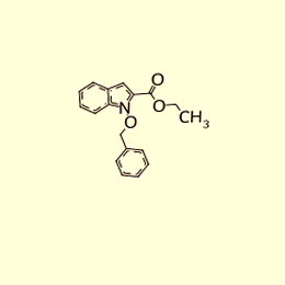 CCOC(=O)c1cc2ccccc2n1OCc1ccccc1